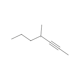 CC#C[C](C)CCC